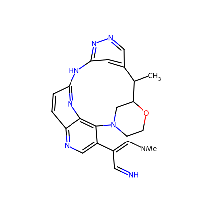 CN/C=C(\C=N)c1cnc2ccc3nc2c1N1CCOC(C1)C(C)c1cnnc(c1)N3